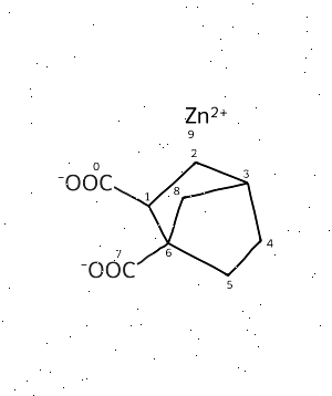 O=C([O-])C1CC2CCC1(C(=O)[O-])C2.[Zn+2]